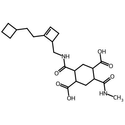 CNC(=O)C1CC(C(=O)O)C(C(=O)NCC2CC=C2CCC2CCC2)CC1C(=O)O